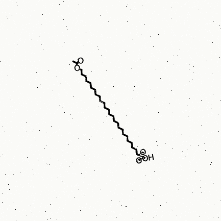 CC(=O)OCCCCCCCCCCCCCCCCCCCCCCCCCCS(=O)(=O)O